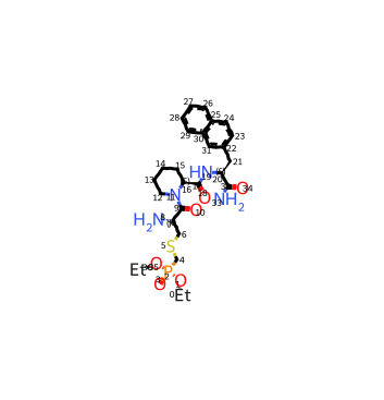 CCOP(=O)(CSC[C@H](N)C(=O)N1CCCC[C@H]1C(=O)N[C@@H](Cc1ccc2ccccc2c1)C(N)=O)OCC